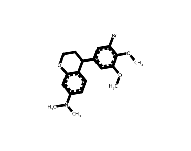 COc1cc(C2CCOc3cc(N(C)C)ccc32)cc(Br)c1OC